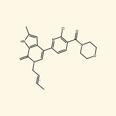 C=C1c2[nH]c(C)cc2C(c2ccc(C(=O)N3CCOCC3)c(Cl)n2)=CN1C/C=C/C